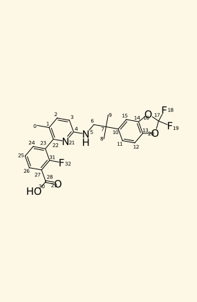 Cc1ccc(NCC(C)(C)c2ccc3c(c2)OC(F)(F)O3)nc1-c1cccc(C(=O)O)c1F